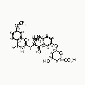 C[C@H](NC(=O)CN(N)C(=O)c1cc(O[C@H]2C[C@@H](O)C[C@@H](C(=O)O)O2)ccc1N)c1ccc(OC(F)(F)F)cc1